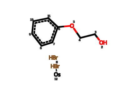 Br.Br.OCCOc1ccccc1.[Os]